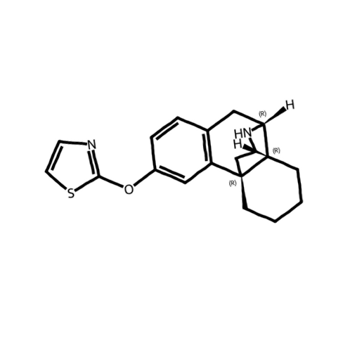 c1csc(Oc2ccc3c(c2)[C@@]24CCCC[C@H]2[C@@H](C3)NCC4)n1